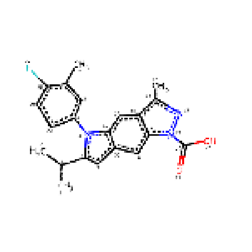 Cc1cc(-n2c(C(C)C)cc3cc4c(cc32)c(C)nn4C(=O)O)ccc1F